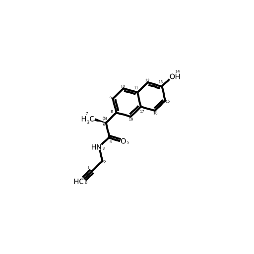 C#CCNC(=O)[C@@H](C)c1ccc2cc(O)ccc2c1